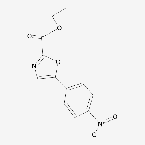 CCOC(=O)c1ncc(-c2ccc([N+](=O)[O-])cc2)o1